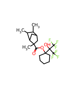 CC1C2CC(C1C)C(C)(C(=O)OC1(C(O)(C(F)(F)F)C(F)(F)F)CCCCC1)C2